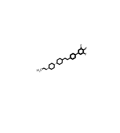 CCC[C@H]1CC[C@H](C2CCC(CCc3ccc(-c4cc(F)c(F)c(F)c4)cc3)CC2)CC1